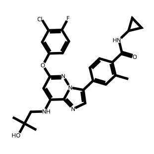 Cc1cc(-c2cnc3c(NCC(C)(C)O)cc(Oc4ccc(F)c(Cl)c4)nn23)ccc1C(=O)NC1CC1